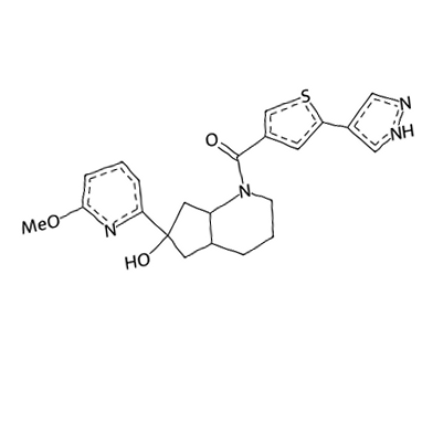 COc1cccc(C2(O)CC3CCCN(C(=O)c4csc(-c5cn[nH]c5)c4)C3C2)n1